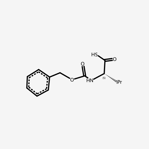 CC(C)[C@H](NC(=O)OCc1ccccc1)C(=O)S